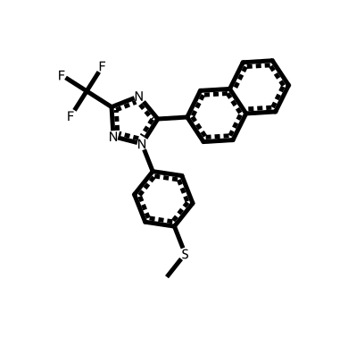 CSc1ccc(-n2nc(C(F)(F)F)nc2-c2ccc3ccccc3c2)cc1